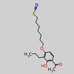 CCCc1c(OCCCCCCCSC#N)ccc(C(C)=O)c1O